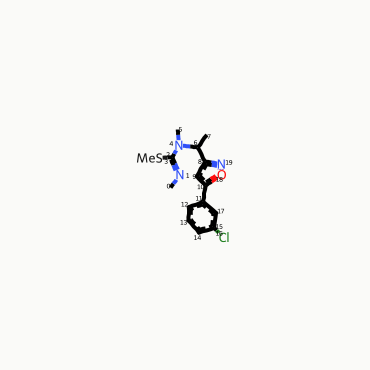 CN=C(SC)N(C)C(C)c1cc(-c2cccc(Cl)c2)on1